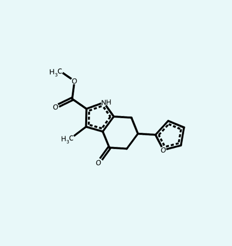 COC(=O)c1[nH]c2c(c1C)C(=O)CC(c1ccco1)C2